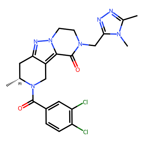 Cc1nnc(CN2CCn3nc4c(c3C2=O)CN(C(=O)c2ccc(Cl)c(Cl)c2)[C@H](C)C4)n1C